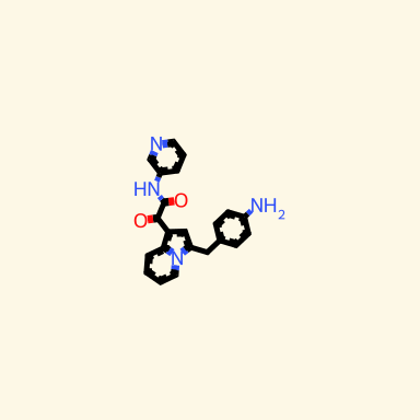 Nc1ccc(Cc2cc(C(=O)C(=O)Nc3cccnc3)c3ccccn23)cc1